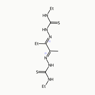 CCNC(=S)N/N=C(C)/C(CC)=N/NC(=S)NCC